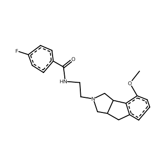 COc1cccc2c1C1CN(CCNC(=O)c3ccc(F)cc3)CC1C2